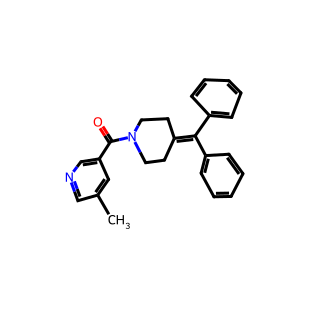 Cc1cncc(C(=O)N2CCC(=C(c3ccccc3)c3ccccc3)CC2)c1